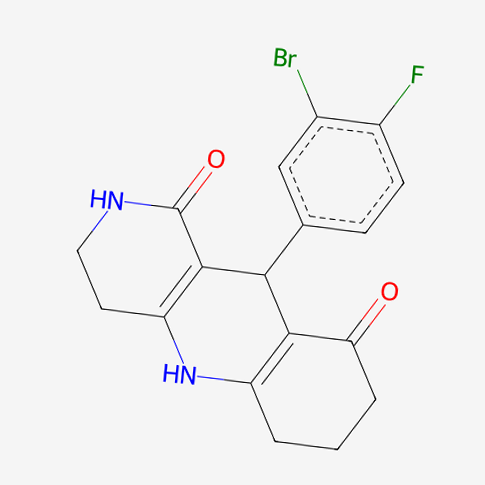 O=C1CCCC2=C1C(c1ccc(F)c(Br)c1)C1=C(CCNC1=O)N2